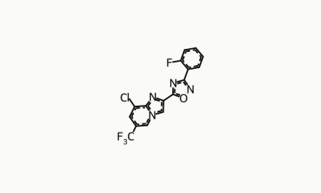 Fc1ccccc1-c1noc(-c2cn3cc(C(F)(F)F)cc(Cl)c3n2)n1